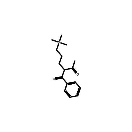 CC(=O)C(CCC[Si](C)(C)C)C(=O)c1ccccc1